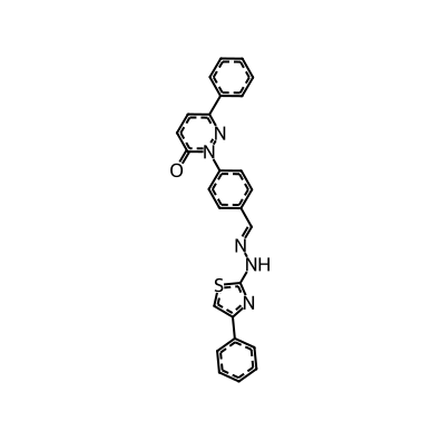 O=c1ccc(-c2ccccc2)nn1-c1ccc(/C=N/Nc2nc(-c3ccccc3)cs2)cc1